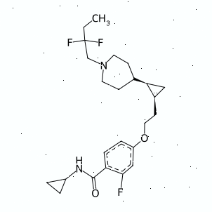 CCC(F)(F)CN1CCC([C@H]2C[C@H]2CCOc2ccc(C(=O)NC3CC3)c(F)c2)CC1